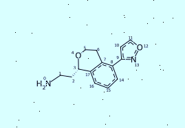 NCC[C@@H]1OCCc2c(-c3ccon3)cccc21